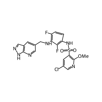 COc1ncc(Cl)cc1S(=O)(=O)Nc1ccc(F)c(NCc2cnc3[nH]ncc3c2)c1F